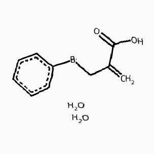 C=C(C[B]c1ccccc1)C(=O)O.O.O